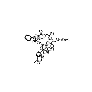 CCCCCCCCCCOCCC(=O)O[C@H]1[C@@H](O)[C@](C#N)(c2ccc3c(C)ncnn23)O[C@@H]1COP(=O)(N[C@H](C)C(=O)OCC(CC)CC)Oc1ccccc1